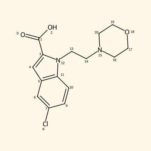 O=C(O)c1cc2cc(Cl)ccc2n1CCN1CCOCC1